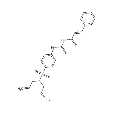 C=CCN(CC=C)S(=O)(=O)c1ccc(NC(=S)NC(=O)/C=C/c2ccccc2)cc1